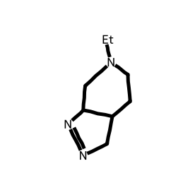 CCN1CCC2CN=NC2C1